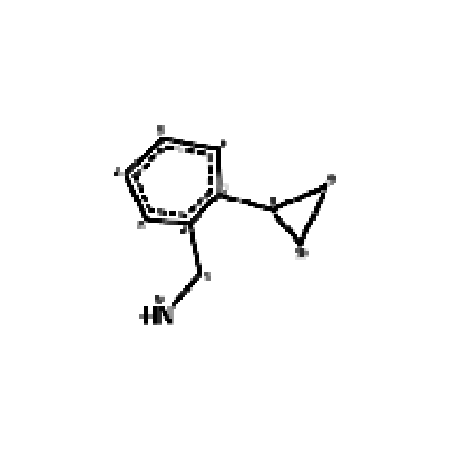 [NH]Cc1ccccc1C1CC1